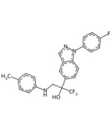 Cc1ccc(NCC(O)(c2ccc3c(cnn3-c3ccc(F)cc3)c2)C(F)(F)F)cc1